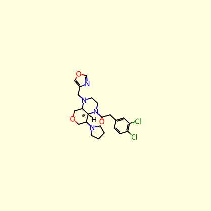 O=C(Cc1ccc(Cl)c(Cl)c1)N1CCN(Cc2cocn2)C2COCC(N3CCCC3)[C@H]21